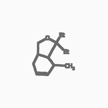 CCC1(CC)OCC2CC=CC(C)C21